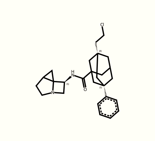 O=C(N[C@H]1CN2CCC3CC312)C12CC3C[C@](CCCl)(C1)C[C@@](c1ccccc1)(C3)C2